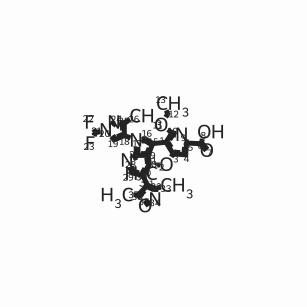 CCOc1cc(C(=O)O)nc(OCC)c1-c1cn(-c2cn(C(F)F)nc2C)c2ncc(-c3c(C)noc3C)cc12